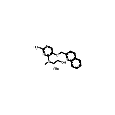 CCCC[C@@H](CO)N(C)c1nc(N)ncc1OCc1ccc2ccccc2n1